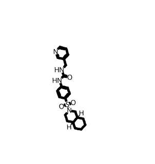 O=C(NCc1cccnc1)Nc1ccc(S(=O)(=O)N2CC[C@H]3CCCC[C@@H]3C2)cc1